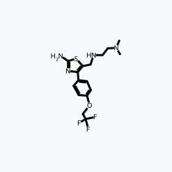 CN(C)CCNCc1sc(N)nc1-c1ccc(OCC(F)(F)F)cc1